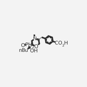 CCCCC(O)([PH2]=O)[C@@H]1CN(C)[C@H](Cc2ccc(C(=O)O)cc2)CO1